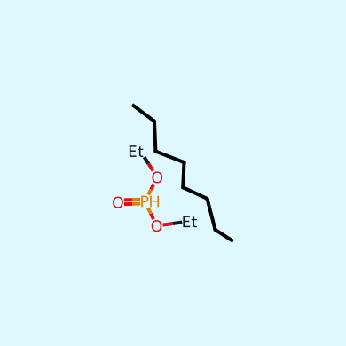 CCCCCCCC.CCO[PH](=O)OCC